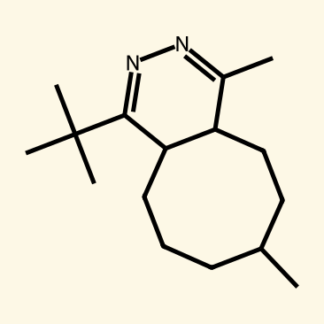 CC1=NN=C(C(C)(C)C)C2CCCC(C)CCC12